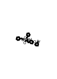 O=C(NOCc1ccccc1)C(=Cc1ccc(Oc2ccccc2Br)cc1)NC(=O)c1ccccc1